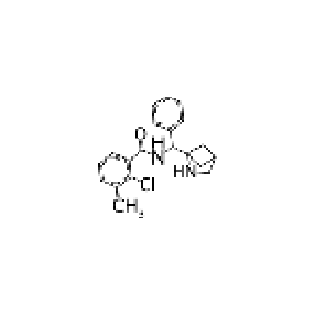 Cc1cccc(C(=O)NC(c2ccccc2)C23CC(CN2)C3)c1Cl